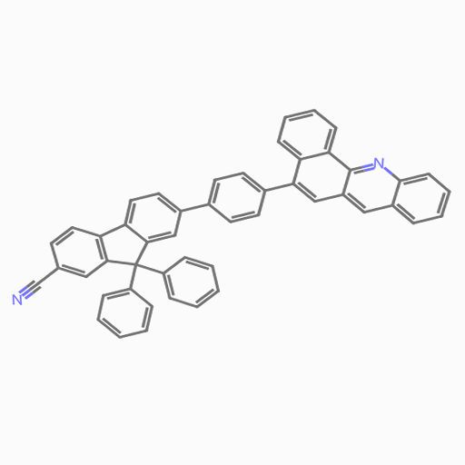 N#Cc1ccc2c(c1)C(c1ccccc1)(c1ccccc1)c1cc(-c3ccc(-c4cc5cc6ccccc6nc5c5ccccc45)cc3)ccc1-2